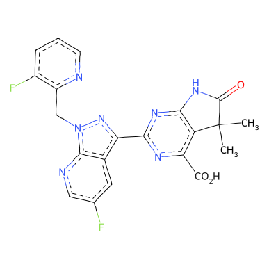 CC1(C)C(=O)Nc2nc(-c3nn(Cc4ncccc4F)c4ncc(F)cc34)nc(C(=O)O)c21